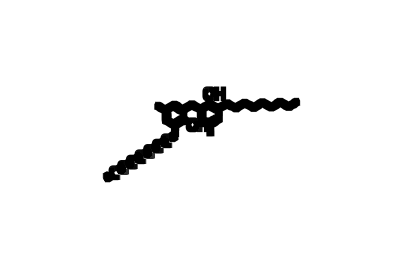 C=C=C=C=C=C=C=C=Cc1cc(C)cc(Cc2cc(C)cc(CCCCCCCCC)c2O)c1O